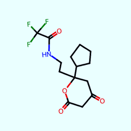 O=C1CC(=O)OC(CCNC(=O)C(F)(F)F)(C2CCCC2)C1